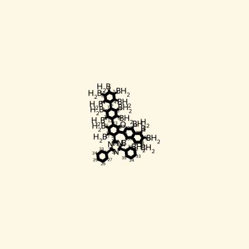 Bc1c(B)c(B)c(-c2c(B)c(B)c(-c3c(B)c(B)c(-c4nc(-c5ccccc5)nc(-c5ccccc5)n4)c4c3oc3c(B)c5c(B)c(B)c(B)c(B)c5c(B)c34)c(B)c2B)c(B)c1B